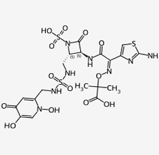 CC(C)(ON=C(C(=O)N[C@@H]1C(=O)N(S(=O)(=O)O)[C@H]1CNS(=O)(=O)NCc1cc(=O)c(O)cn1O)c1csc(N)n1)C(=O)O